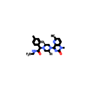 CC[C@H]1CN(C(C(=O)NCC(F)(F)F)c2ccc(C)cc2)[C@H](CC)CN1c1nc(=O)n(C)c2ccc(C#N)nc12